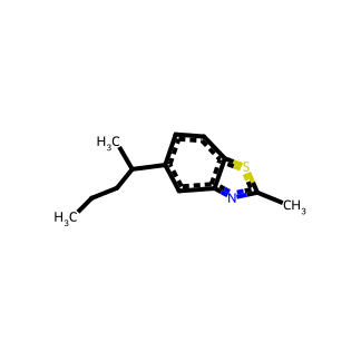 CCCC(C)c1ccc2sc(C)nc2c1